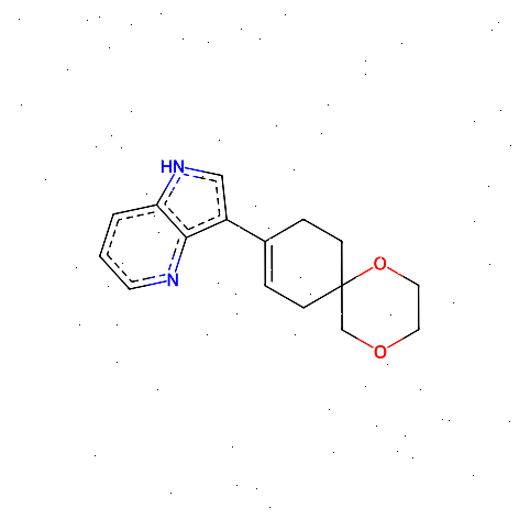 C1=C(c2c[nH]c3cccnc23)CCC2(C1)COCCO2